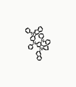 c1ccc(N(c2ccc3c(c2)c2cc4ccccc4cc2n3-c2ccccc2)c2cc(N(c3ccccc3)c3ccccc3)c3c4ccccc4n(-c4ccc5ccccc5c4)c3c2)cc1